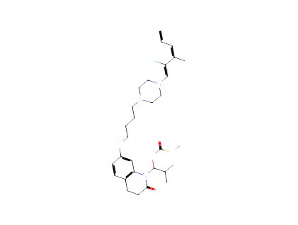 C=C/C=C(C)\C(Cl)=C\N1CCN(CCCCOc2ccc3c(c2)N(C(OC(=O)SC)C(C)C)C(=O)CC3)CC1